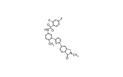 Cc1ccc(NS(=O)(=O)c2ccc(F)cc2F)cc1-c1ccc(-c2ccc3c(c2)CN(C)C3=O)s1